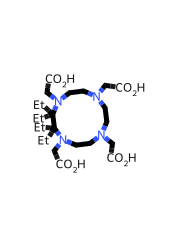 CCC1(CC)N(CC(=O)O)CCN(CC(=O)O)CCN(CC(=O)O)CCN(CC(=O)O)C1(CC)CC